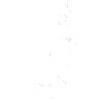 COC(=O)NC(C(=O)N1C[C@@H](OC)C[C@H]1c1nc(-c2ccc(-c3cc(Cl)c(NC(=O)c4ccc(N5CCNC[C@H]5C)nc4)cc3OC(F)(F)F)cc2)c[nH]1)C(C)C